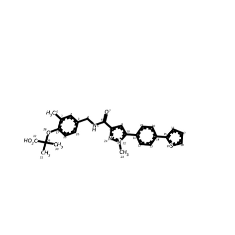 Cc1cc(CNC(=O)c2cc(-c3ccc(-c4cccs4)cc3)n(C)n2)ccc1OC(C)(C)C(=O)O